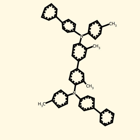 Cc1ccc(N(c2ccc(-c3ccccc3)cc2)c2ccc(-c3ccc(N(c4ccc(C)cc4)c4ccc(-c5ccccc5)cc4)c(C)c3)cc2C)cc1